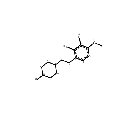 COc1ccc(CCC2CCC(C)CC2)c(F)c1F